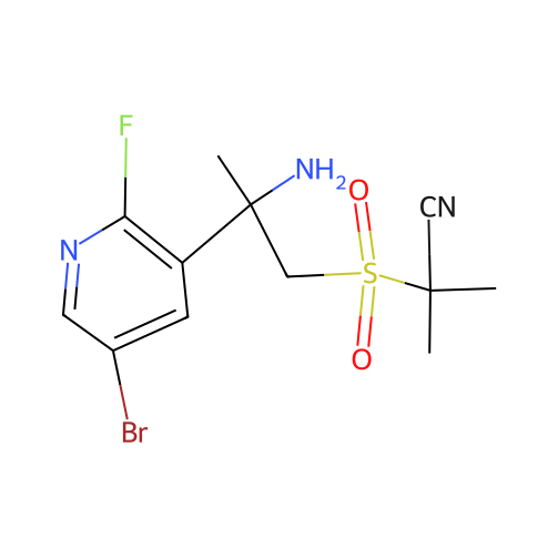 CC(N)(CS(=O)(=O)C(C)(C)C#N)c1cc(Br)cnc1F